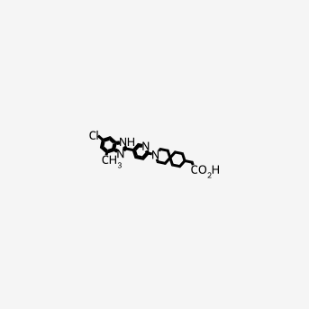 Cc1cc(Cl)cc2[nH]c(-c3ccc(N4CCC5(CCC(CC(=O)O)CC5)CC4)nc3)nc12